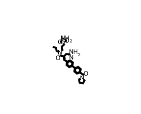 CCCN(CCCS(N)(=O)=O)C(=O)C1=Cc2ccc(-c3ccc(C(=O)N4CCCC4)cc3)cc2N=C(N)C1